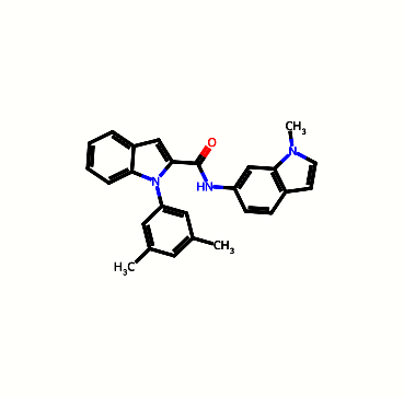 Cc1cc(C)cc(-n2c(C(=O)Nc3ccc4ccn(C)c4c3)cc3ccccc32)c1